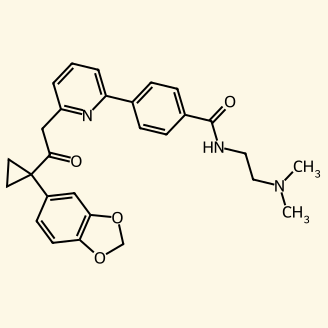 CN(C)CCNC(=O)c1ccc(-c2cccc(CC(=O)C3(c4ccc5c(c4)OCO5)CC3)n2)cc1